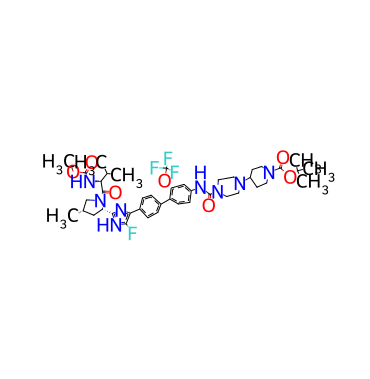 COC(=O)N[C@H](C(=O)N1C[C@@H](C)C[C@H]1c1nc(-c2ccc(-c3ccc(NC(=O)N4CCN(C5CCN(C(=O)OC(C)(C)C)CC5)CC4)cc3OC(F)(F)F)cc2)c(F)[nH]1)C(C)C